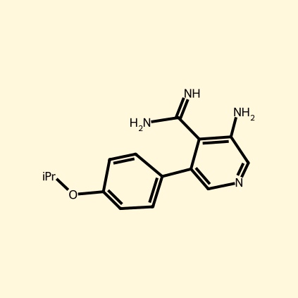 CC(C)Oc1ccc(-c2cncc(N)c2C(=N)N)cc1